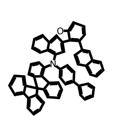 c1ccc(-c2ccc(N(c3cccc4c3-c3ccccc3C43c4ccccc4-c4ccccc43)c3cc4c(oc5cccc(-c6ccc7ccccc7c6)c54)c4ccccc34)cc2)cc1